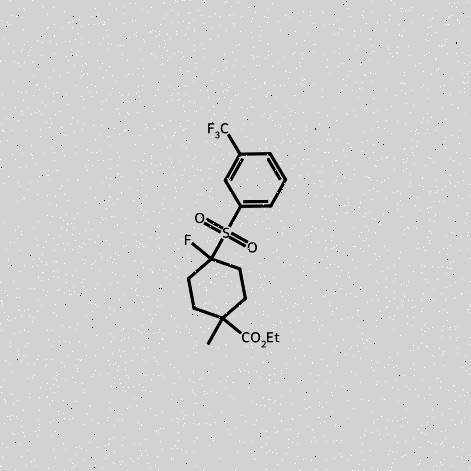 CCOC(=O)C1(C)CCC(F)(S(=O)(=O)c2cccc(C(F)(F)F)c2)CC1